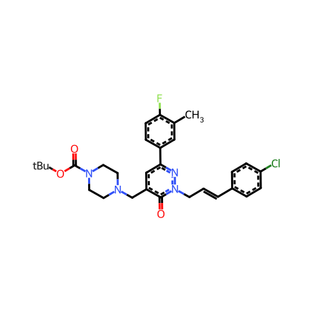 Cc1cc(-c2cc(CN3CCN(C(=O)OC(C)(C)C)CC3)c(=O)n(CC=Cc3ccc(Cl)cc3)n2)ccc1F